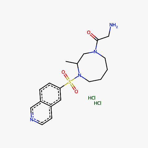 CC1CN(C(=O)CN)CCCCN1S(=O)(=O)c1ccc2cnccc2c1.Cl.Cl